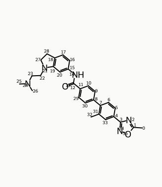 Cc1nc(-c2ccc(-c3ccc(C(=O)Nc4ccc5c(c4)N(CCN(C)C)CC5)cc3)c(C)c2)no1